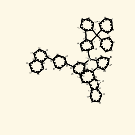 c1ccc(C2(c3ccccc3)c3ccccc3-c3ccc(N(c4cccc(-c5ccc(-c6cccc7ccccc67)cc5)c4)c4ccccc4-c4cccc5c4sc4ccccc45)cc32)cc1